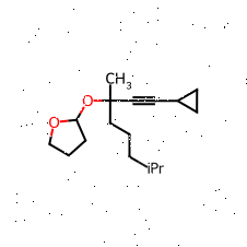 CC(C)CCCC(C)(C#CC1CC1)OC1CCCO1